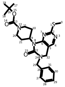 CSc1ncc2c(n1)N(C1CCN(C(=O)OC(C)(C)C)CC1)C(=O)N(Cc1ccccc1)C2